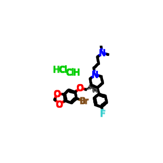 CN(C)CCCN1CC[C@@H](c2ccc(F)cc2)[C@H](COc2cc3c(cc2Br)OCO3)C1.Cl.Cl